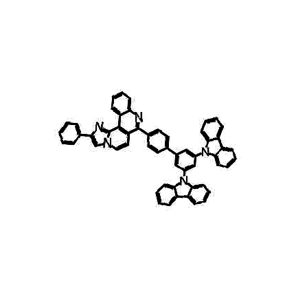 c1ccc(-c2cn3ccc4c(-c5ccc(-c6cc(-n7c8ccccc8c8ccccc87)cc(-n7c8ccccc8c8ccccc87)c6)cc5)nc5ccccc5c4c3n2)cc1